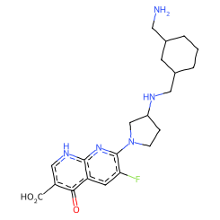 NCC1CCCC(CNC2CCN(c3nc4[nH]cc(C(=O)O)c(=O)c4cc3F)C2)C1